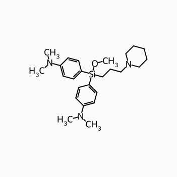 CO[Si](CCCN1CCCCC1)(c1ccc(N(C)C)cc1)c1ccc(N(C)C)cc1